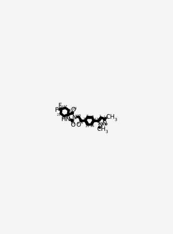 Cc1cc(-c2ccc(C(=O)CN3C(=O)NC4(CCC(F)(F)CC4)C3=O)cc2)n(C)n1